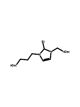 CCCCCCCCCCCCCN1C=CN(CCCCCCCCCCC)C1CC